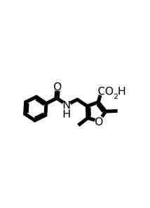 Cc1oc(C)c(C(=O)O)c1CNC(=O)c1ccccc1